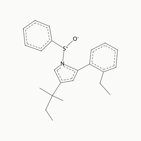 CCc1ccccc1-c1cc(C(C)(C)CC)cn1[S+]([O-])c1ccccc1